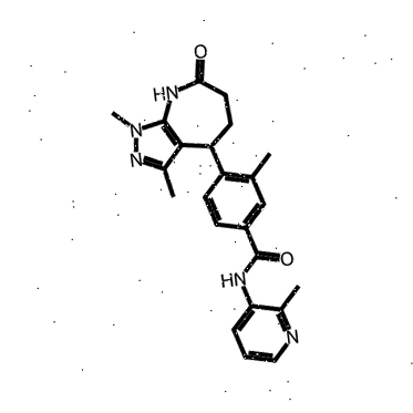 Cc1cc(C(=O)Nc2cccnc2C)ccc1C1CCC(=O)Nc2c1c(C)nn2C